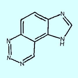 c1nc2ccc3nnncc3c2[nH]1